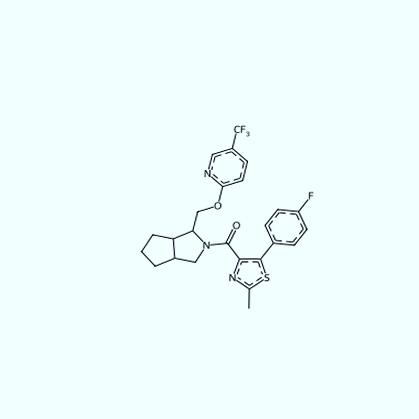 Cc1nc(C(=O)N2CC3CCCC3C2COc2ccc(C(F)(F)F)cn2)c(-c2ccc(F)cc2)s1